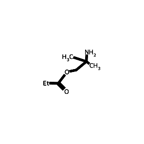 CCC(=O)OCC(C)(C)N